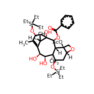 CC[Si](CC)(CC)OC1C[C@H]2OC[C@@]2(OC(C)=O)[C@H]2[C@H](OC(=O)c3ccccc3)[C@]3(O)C[C@H](O[Si](CC)(CC)CC)C(C)=C([C@H](O)[C@H](O)[C@]12C)C3(C)C